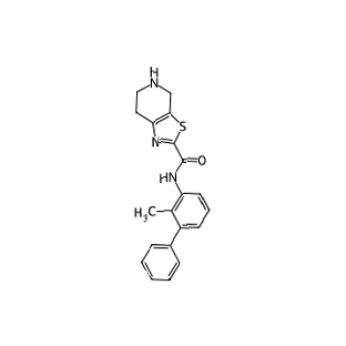 Cc1c(NC(=O)c2nc3c(s2)CNCC3)cccc1-c1ccccc1